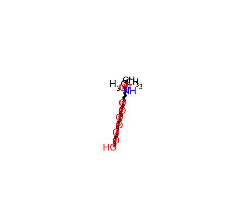 CC(C)(C)OC(=O)NCCCCOCCOCCOCCOCCOCCOCCO